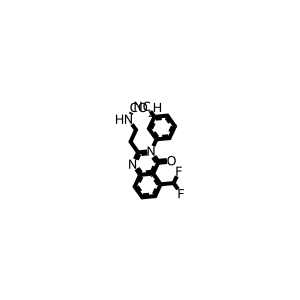 N#Cc1cccc(-n2c(CCNC(=O)O)nc3cccc(C(F)F)c3c2=O)c1